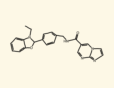 CCN1c2ccccc2OC1c1ccc(CNC(=O)c2cnc3nccn3c2)cc1